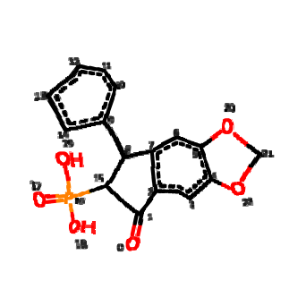 O=C1c2cc3c(cc2C(c2ccccc2)C1P(=O)(O)O)OCO3